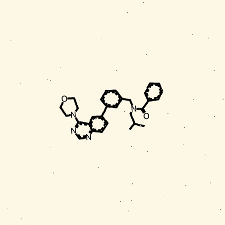 CC(C)CN(Cc1cccc(-c2ccc3ncnc(N4CCOCC4)c3c2)c1)C(=O)c1ccccc1